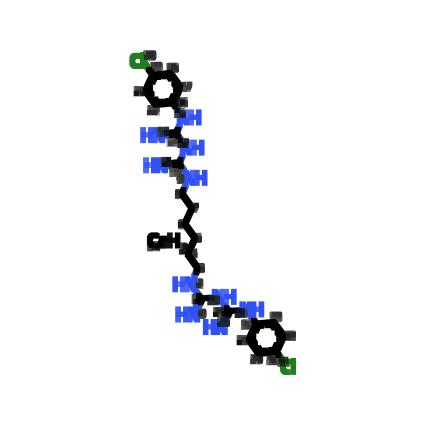 N=C(NCCCCCCNC(=N)NC(=N)Nc1ccc(Cl)cc1)NC(=N)Nc1ccc(Cl)cc1.[CaH2]